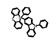 c1ccc(-n2c3ccccc3c3cc([Si]4(c5ccccc5)c5ccccc5Sc5ccccc54)ccc32)cc1